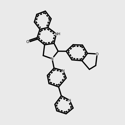 O=c1c2c([nH]c3ccccc13)C(c1ccc3c(c1)CCO3)N(c1ccc(-c3ccccn3)cn1)C2